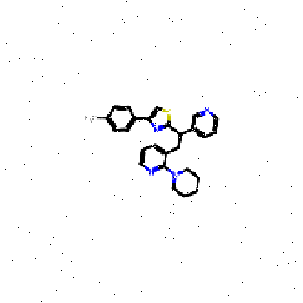 FC(F)(F)c1ccc(-c2csc(C(Cc3cccnc3N3CCCCC3)c3cccnc3)n2)cc1